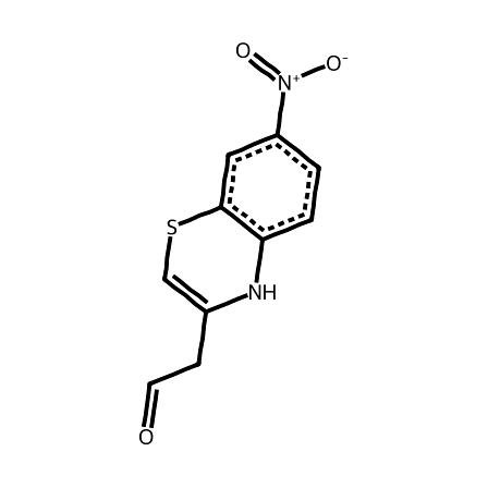 O=CCC1=CSc2cc([N+](=O)[O-])ccc2N1